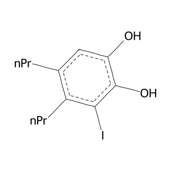 CCCc1cc(O)c(O)c(I)c1CCC